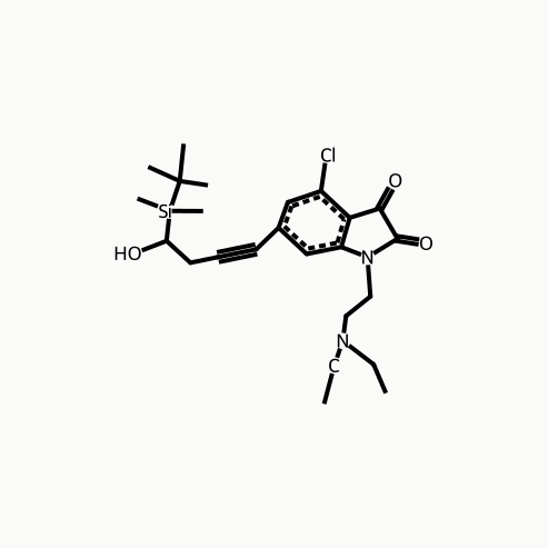 CCN(CC)CCN1C(=O)C(=O)c2c(Cl)cc(C#CCC(O)[Si](C)(C)C(C)(C)C)cc21